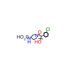 CC(C)(O)C(C(=O)N1CCC(NC(=O)O)CC1)c1cccc(Cl)c1